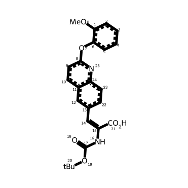 COc1ccccc1Oc1ccc2cc(/C=C(/NC(=O)OC(C)(C)C)C(=O)O)ccc2n1